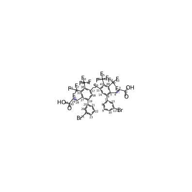 O=C(O)/C=C/c1c(-c2cccc(Br)c2)cc(Sc2cc(-c3cccc(Br)c3)c(/C=C/C(=O)O)c(C(F)(F)F)c2C(F)(F)F)c(C(F)(F)F)c1C(F)(F)F